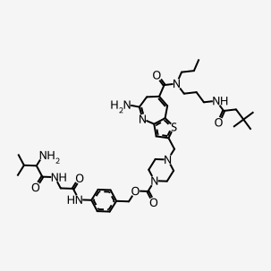 CCCN(CCCNC(=O)CC(C)(C)C)C(=O)C1=Cc2sc(CN3CCN(C(=O)OCc4ccc(NC(=O)CNC(=O)C(N)C(C)C)cc4)CC3)cc2N=C(N)C1